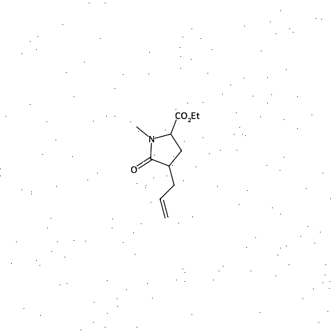 C=CCC1CC(C(=O)OCC)N(C)C1=O